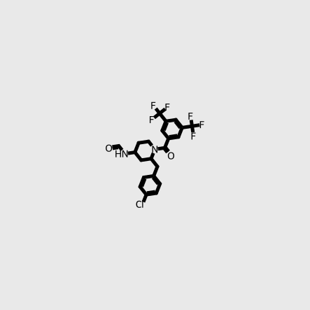 O=CNC1CCN(C(=O)c2cc(C(F)(F)F)cc(C(F)(F)F)c2)C(Cc2ccc(Cl)cc2)C1